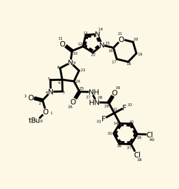 CC(C)(C)OC(=O)N1CC2(C1)CN(C(=O)c1cnn(C3CCCCO3)c1)CC2C(=O)NNC(=O)C(F)(F)c1ccc(Cl)c(Cl)c1